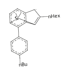 CCCCCCC1=C2c3c(ccc(c3-c3ccc(CCCC)cc3)[Si]2(C)C)[CH]1